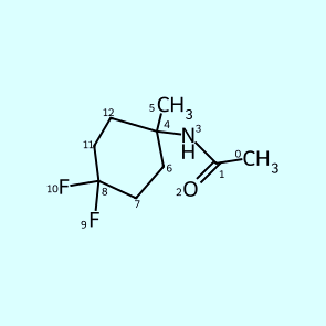 CC(=O)NC1(C)CCC(F)(F)CC1